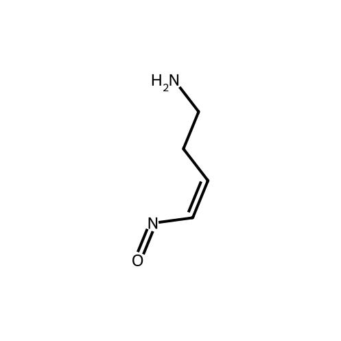 NCC/C=C\N=O